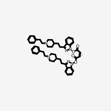 O=C(/C=C\C(=O)On1nc(CCC2CCN(CCc3ccccc3)CC2)c2ccccc21)On1nc(CCC2CCN(CCc3ccccc3)CC2)c2ccccc21